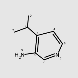 CC(C)c1ccncc1N